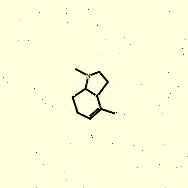 CC1=CCCC2C1CCN2C